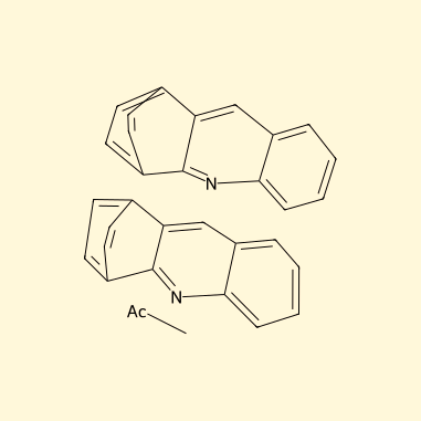 CC(C)=O.c1ccc2nc3c4ccc(cc4)c3cc2c1.c1ccc2nc3c4ccc(cc4)c3cc2c1